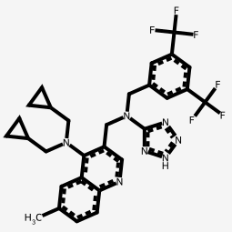 Cc1ccc2ncc(CN(Cc3cc(C(F)(F)F)cc(C(F)(F)F)c3)c3nn[nH]n3)c(N(CC3CC3)CC3CC3)c2c1